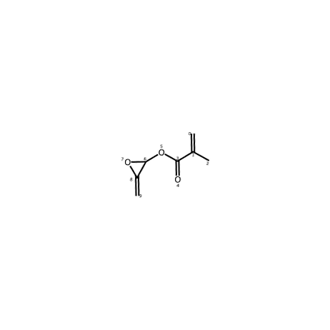 C=C(C)C(=O)OC1OC1=C